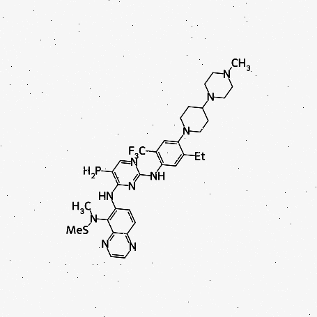 CCc1cc(Nc2ncc(P)c(Nc3ccc4nccnc4c3N(C)SC)n2)c(C(F)(F)F)cc1N1CCC(N2CCN(C)CC2)CC1